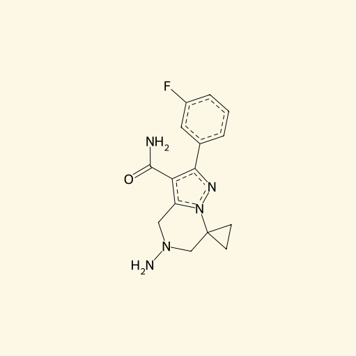 NC(=O)c1c(-c2cccc(F)c2)nn2c1CN(N)CC21CC1